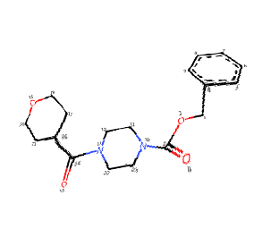 O=C(OCc1ccccc1)N1CCN(C(=O)C2CCOCC2)CC1